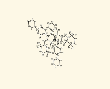 Cc1cc(-c2ccccc2)ccc1N1c2cc3c(cc2Bc2c(-c4cc5c(cc4Nc4ccc(-c6ccccc6)cc4)C(C)(C)CCC5(C)C)cc4ccccc4c21)C(C)(C)CCC3(C)C